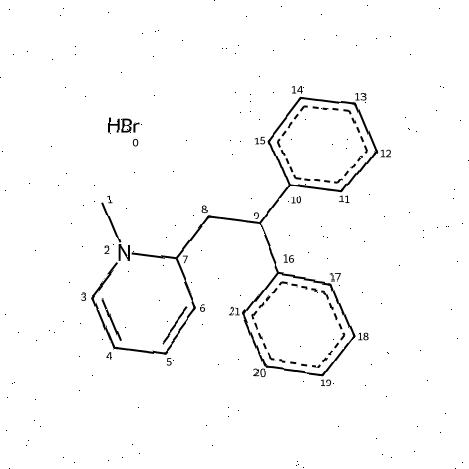 Br.CN1C=CC=CC1CC(c1ccccc1)c1ccccc1